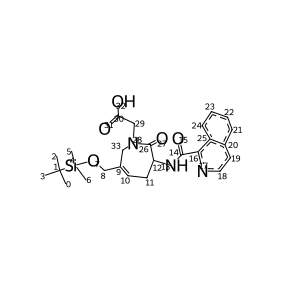 CC(C)(C)[Si](C)(C)OCC1=CCC(NC(=O)c2nccc3ccccc23)C(=O)N(CC(=O)O)C1